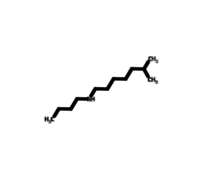 CCCCNCCCCCC(C)C